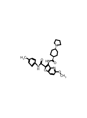 COc1ccc2oc(C(=O)Nc3ccc(C)cc3)c(NC(=O)[C@H]3CC[C@H](N4CCCC4)CC3)c2n1